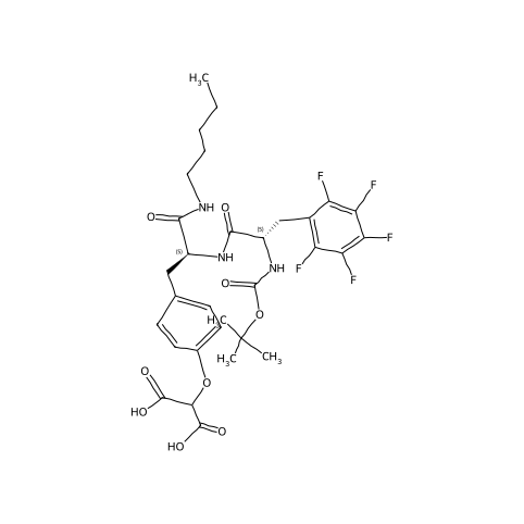 CCCCCNC(=O)[C@H](Cc1ccc(OC(C(=O)O)C(=O)O)cc1)NC(=O)[C@H](Cc1c(F)c(F)c(F)c(F)c1F)NC(=O)OC(C)(C)C